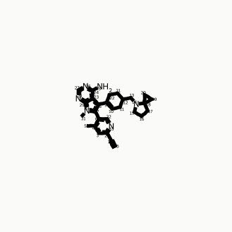 C#Cc1cc(C)c(-c2c(C3=CCC(CN4CCCC45CC5)CC3)c3c(N)ncnc3n2C)cn1